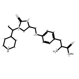 COC(=O)C(N)Cc1ccc(OCC2CN(C(C)C3CCNCC3)C(=O)O2)cc1